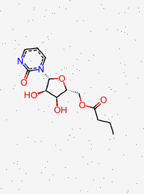 CCCC(=O)OC[C@H]1O[C@@H](n2cccnc2=O)[C@H](O)[C@@H]1O